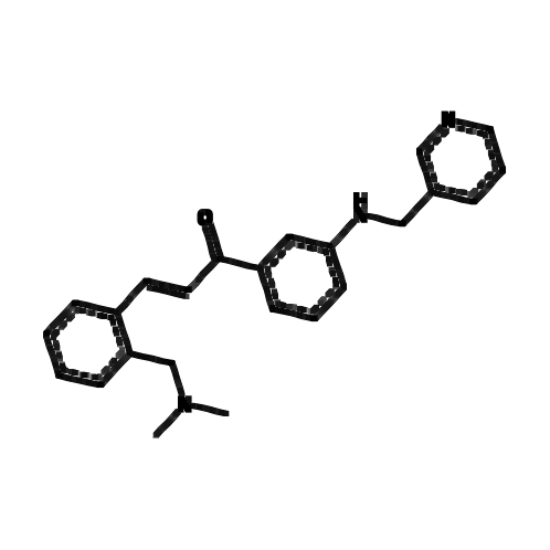 CN(C)Cc1ccccc1/C=C/C(=O)c1cccc(NCc2cccnc2)c1